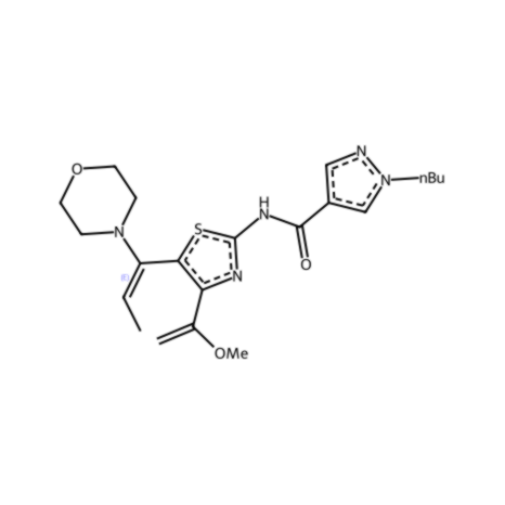 C=C(OC)c1nc(NC(=O)c2cnn(CCCC)c2)sc1/C(=C\C)N1CCOCC1